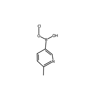 Cc1ccc(B(O)OCl)cn1